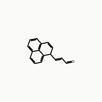 O=CC=CC1C=Cc2cccc3cccc1c23